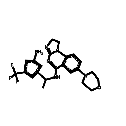 CC(NC1=NC2=NCCN2c2ccc(N3CCOCC3)cc21)c1cc(N)cc(C(F)(F)F)c1